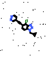 Clc1c(C#Cc2ccnnc2)ccc2c1nnn2CC1CC1